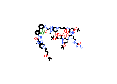 Cn1c(C(=O)Nc2cccc(-c3cccc(NC(=O)c4nc5c(n4C)CCN(CCCC(=O)OC(C)(C)C)C5)c3Cl)c2Cl)nc2c1CCN(CCCC(=O)N[C@@H](CC(=O)OC(C)(C)C)C(=O)N[C@@H](CCCNC(N)=O)C(=O)N[C@@H](CC(=O)OC(C)(C)C)C(=O)N[C@@H](CC(=O)OC(C)(C)C)C(=O)O)C2